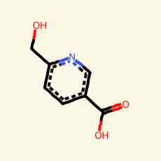 O=C(O)c1ccc(CO)nc1